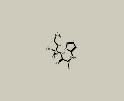 C[C@H](Nc1cccs1)C(=O)OP(=O)(O)CCN